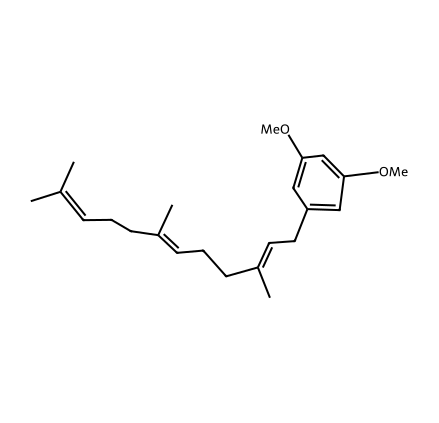 COc1cc(C/C=C(\C)CC/C=C(\C)CCC=C(C)C)cc(OC)c1